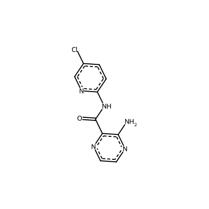 Nc1nccnc1C(=O)Nc1ccc(Cl)cn1